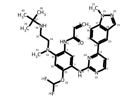 C=CC(=O)Nc1cc(Nc2nccc(-c3ccc4c(cnn4C)c3)n2)c(OC(F)F)cc1N(C)CCNC(C)(C)C